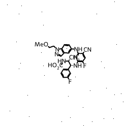 COCCn1ncc2cc(Nc3nc(N[C@H](c4cccc(F)c4)[C@H](C)NC(=O)O)c(F)cc3C#N)ccc21